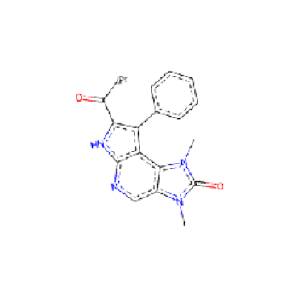 CC(C)C(=O)c1[nH]c2ncc3c(c2c1-c1ccccc1)n(C)c(=O)n3C